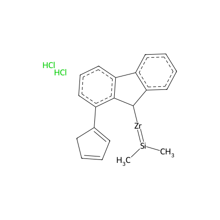 C[Si](C)=[Zr][CH]1c2ccccc2-c2cccc(C3=CC=CC3)c21.Cl.Cl